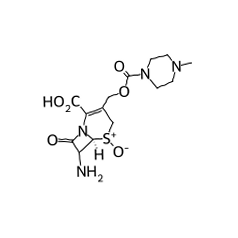 CN1CCN(C(=O)OCC2=C(C(=O)O)N3C(=O)C(N)[C@@H]3[S+]([O-])C2)CC1